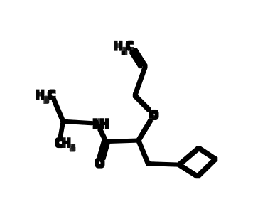 C=CCOC(CC1CCC1)C(=O)NC(C)C